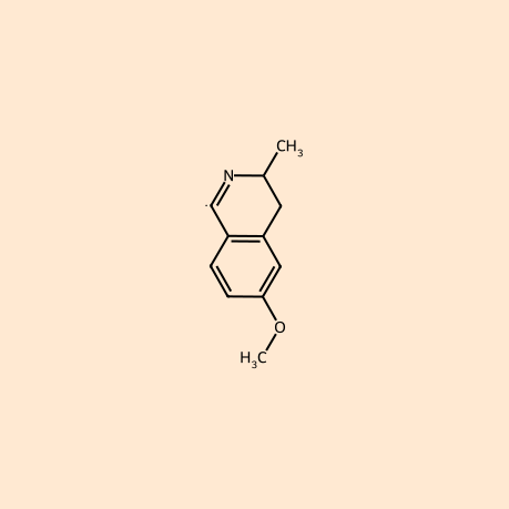 COc1ccc2c(c1)CC(C)N=[C]2